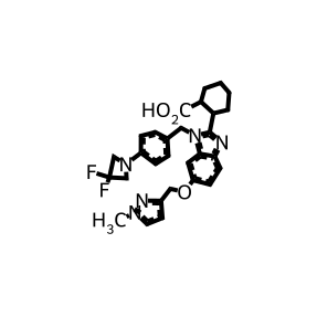 Cn1ccc(COc2ccc3nc(C4CCCCC4C(=O)O)n(Cc4ccc(N5CC(F)(F)C5)cc4)c3c2)n1